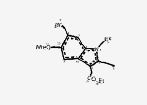 CCOC(=O)c1c(C)n(CC)c2cc(Br)c(OC)cc12